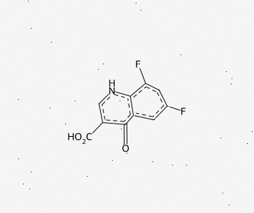 O=C(O)c1c[nH]c2c(F)cc(F)cc2c1=O